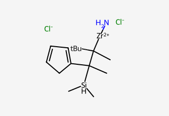 C[SiH](C)C(C)(C1=CC=CC1)[C](C)([Zr+2][NH2])C(C)(C)C.[Cl-].[Cl-]